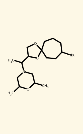 CC1CN(C(C)C2COC3(CCCC(C(C)(C)C)CC3)O2)CC(C)O1